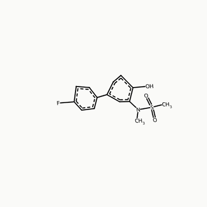 CN(c1cc(-c2ccc(F)cc2)ccc1O)S(C)(=O)=O